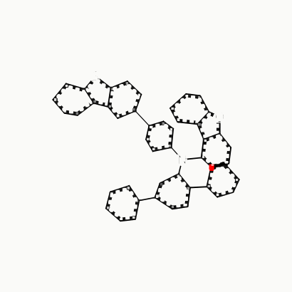 c1ccc(-c2ccc(-c3ccccc3)c(N(c3ccc(-c4ccc5sc6ccccc6c5c4)cc3)c3cccc4oc5ccccc5c34)c2)cc1